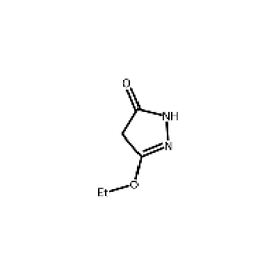 CCOC1=NNC(=O)C1